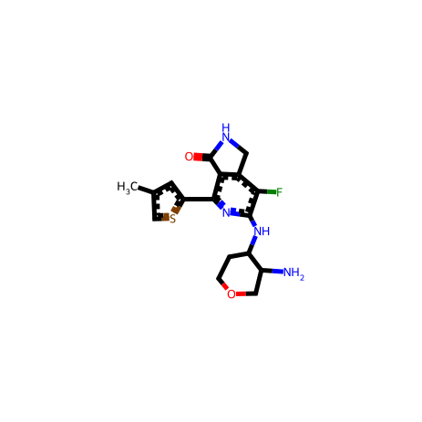 Cc1csc(-c2nc(NC3CCOCC3N)c(F)c3c2C(=O)NC3)c1